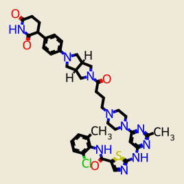 Cc1nc(Nc2ncc(C(=O)Nc3c(C)cccc3Cl)s2)cc(N2CCN(CCCC(=O)N3C[C@@H]4CN(c5ccc(C6CCC(=O)NC6=O)cc5)C[C@@H]4C3)CC2)n1